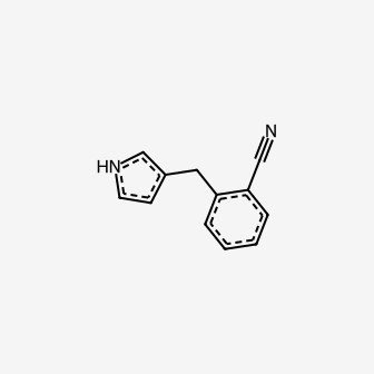 N#Cc1ccccc1Cc1cc[nH]c1